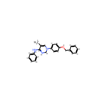 CC1=CN(c2ccc(OCc3ccccc3)cc2)CN=C1Nc1ccccc1